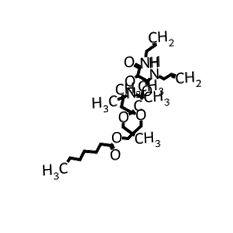 C=CCNC(=O)C(ON1C(C)(C)CC2(CC1(C)C)OCC(C)(COC(=O)CCCCCC)CO2)C(=O)NCC=C